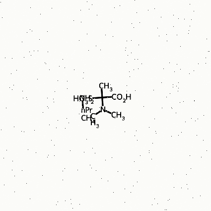 C.CCCN.CN(C)C(C)(C(=O)O)S(=O)(=O)O